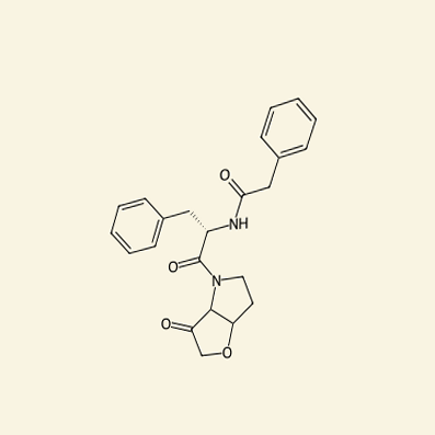 O=C(Cc1ccccc1)N[C@@H](Cc1ccccc1)C(=O)N1CCC2OCC(=O)C21